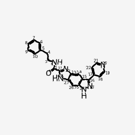 O=C(NCCc1ccccc1)c1nc2cc3c(-c4ccncc4)n[nH]c3cc2[nH]1